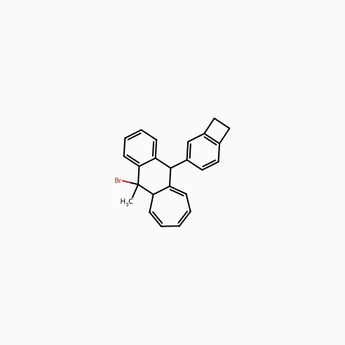 CC1(Br)c2ccccc2C(c2ccc3c(c2)CC3)C2=CC=CC=CC21